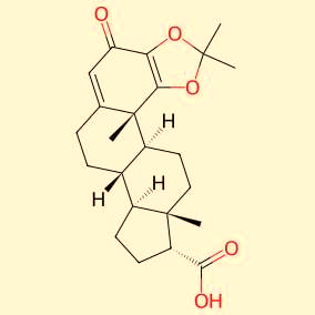 CC1(C)OC2=C(O1)[C@@]1(C)C(=CC2=O)CC[C@@H]2[C@@H]1CC[C@]1(C)[C@H](C(=O)O)CC[C@@H]21